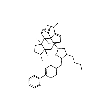 CCCCC1CC(C23C[C@@H]4[C@H](C)CC[C@H]4C4(C=O)CC2C=C(C(C)C)C34C(=O)O)OC1CN1CC=C(c2ccccn2)CC1